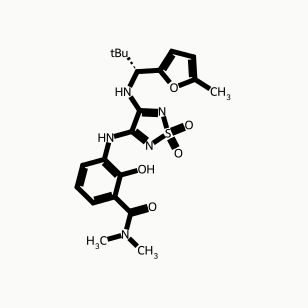 Cc1ccc([C@H](NC2=NS(=O)(=O)N=C2Nc2cccc(C(=O)N(C)C)c2O)C(C)(C)C)o1